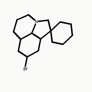 BrC1CC2CCCN3CC4(CCCCC4)C(C1)C23